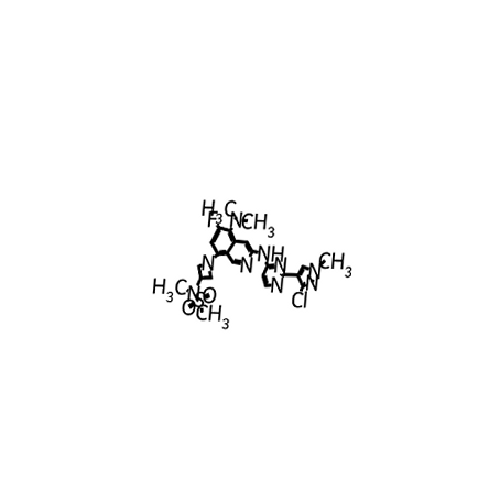 CN(C)c1c(F)cc(N2CC(N(C)S(C)(=O)=O)C2)c2cnc(Nc3ccnc(-c4cn(C)nc4Cl)n3)cc12